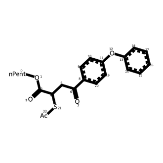 CCCCCOC(=O)C(CC(=O)c1ccc(Oc2ccccc2)cc1)SC(C)=O